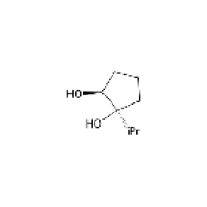 CC(C)[C@@]1(O)CCC[C@@H]1O